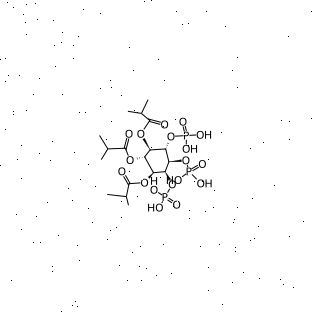 CC(C)C(=O)O[C@@H]1[C@@H](OC(=O)C(C)C)[C@H](OP(=O)(O)O)[C@@H](OP(=O)(O)O)[C@@H](OP(=O)(O)O)[C@H]1OC(=O)C(C)C